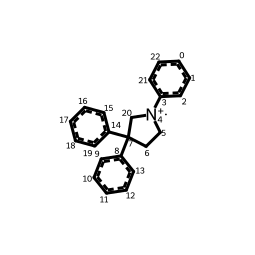 c1ccc([N+]2CCC(c3ccccc3)(c3ccccc3)C2)cc1